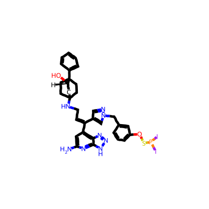 Nc1cc(/C(=C/CNC23CCC(c4ccccc4)(CC2)[C@@H](O)C3)c2cnn(Cc3cccc(OSP(I)I)c3)c2)c2nn[nH]c2n1